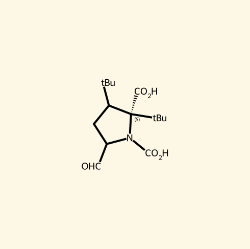 CC(C)(C)C1CC(C=O)N(C(=O)O)[C@]1(C(=O)O)C(C)(C)C